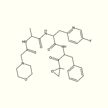 CC(NC(=O)CN1CCOCC1)C(=O)NC(Cc1ccc(F)cn1)C(=O)NC(Cc1ccccc1)C(=O)C1(C)CO1